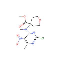 COC(=O)C1(N(C)c2nc(Cl)nc(C)c2[N+](=O)[O-])CCOCC1